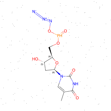 Cc1cn([C@H]2C[C@H](O)[C@@H](CO[PH](=O)ON=[N+]=[N-])O2)c(=O)[nH]c1=O